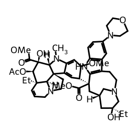 CC[C@]1(O)C[C@H]2CN(CCc3c([nH]c4ccc(N5CCOCC5)cc34)[C@@](C(=O)OC)(C3C=C4C(=CC3OC)N(C)[C@H]3[C@@](O)(C(=O)OC)[C@H](OC(C)=O)[C@]5(CC)C=CCN6CC[C@]43[C@@H]65)C2)C1